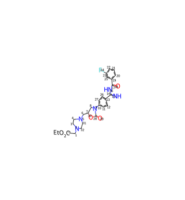 CCOC(=O)CN1CCN(CC2CN(c3ccc(C(=N)NC(=O)c4cccc(F)c4)cc3)C(=O)O2)CC1